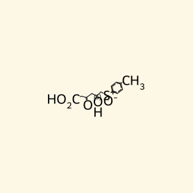 Cc1ccc([S+]([O-])C[C@@H](O)CC(=O)CC(=O)O)cc1